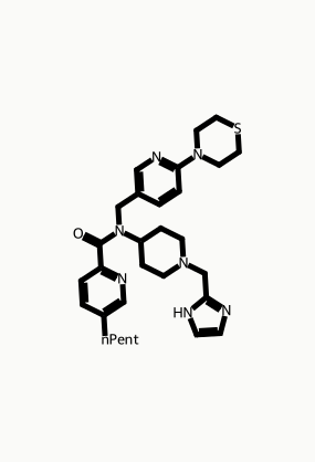 CCCCCc1ccc(C(=O)N(Cc2ccc(N3CCSCC3)nc2)C2CCN(Cc3ncc[nH]3)CC2)nc1